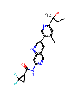 [2H][C@](O)(CC)c1cc(C)c(-c2cnc3cc(NC(=O)[C@H]4CC4(F)F)ncc3c2)cn1